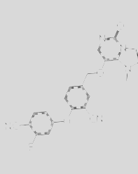 CN1CCn2c1c(OCc1ccc(Oc3ccc(C#N)c(F)c3)c(C#N)c1)cnc2=O